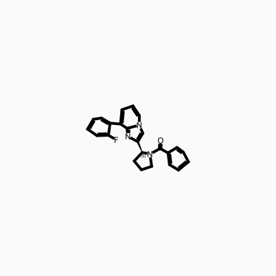 O=C(c1ccccc1)N1CCC[C@H]1c1cn2cccc(-c3ccccc3F)c2n1